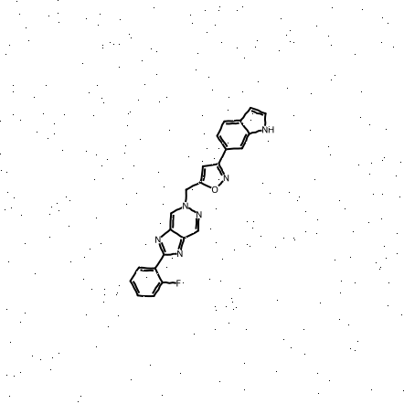 Fc1ccccc1-c1nc2cnn(Cc3cc(-c4ccc5cc[nH]c5c4)no3)cc-2n1